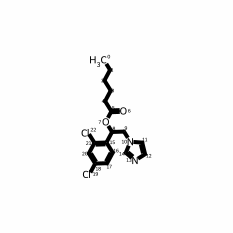 CCCCCC(=O)OC(Cn1ccnc1)c1ccc(Cl)cc1Cl